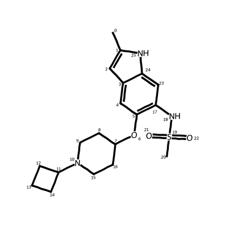 Cc1cc2cc(OC3CCN(C4CCC4)CC3)c(NS(C)(=O)=O)cc2[nH]1